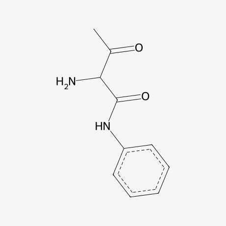 CC(=O)C(N)C(=O)Nc1ccccc1